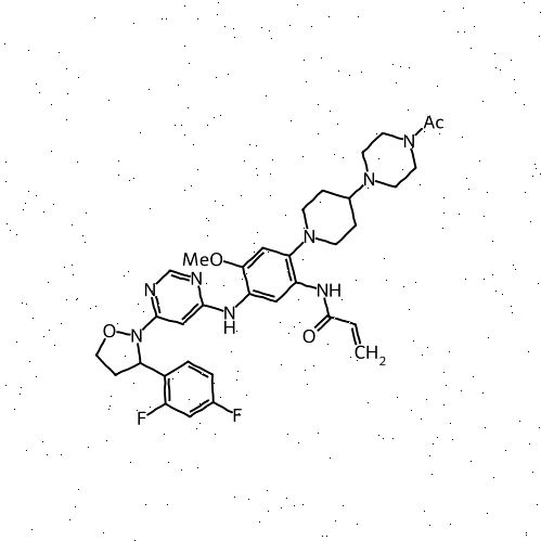 C=CC(=O)Nc1cc(Nc2cc(N3OCCC3c3ccc(F)cc3F)ncn2)c(OC)cc1N1CCC(N2CCN(C(C)=O)CC2)CC1